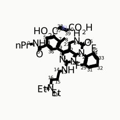 CCCNC(=O)c1ccc(C)c(-c2nc(NCCCN(CC)CC)nc3c2CNC(=O)N3c2c(F)cccc2F)c1.O=C(O)/C=C/C(=O)O